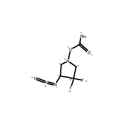 CC(C)(C)C(=O)ON1CC(N=[N+]=[N-])C(F)(F)C1